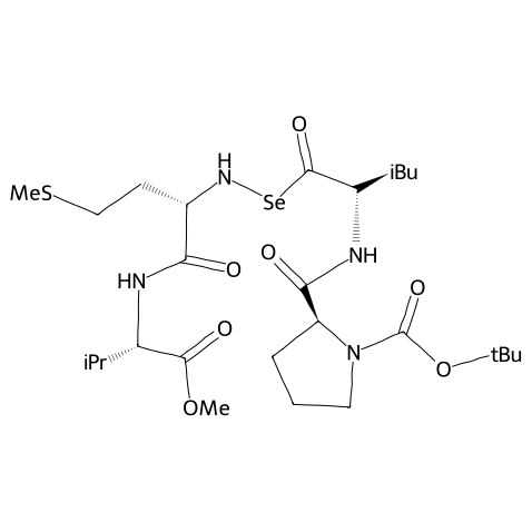 CC[C@H](C)[C@H](NC(=O)[C@@H]1CCCN1C(=O)OC(C)(C)C)C(=O)[Se]N[C@@H](CCSC)C(=O)N[C@H](C(=O)OC)C(C)C